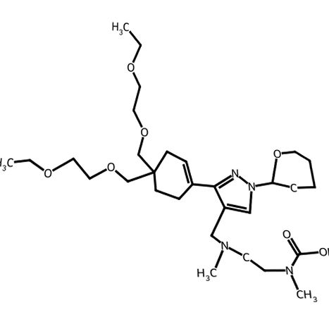 CCOCCOCC1(COCCOCC)CC=C(c2nn(C3CCCCO3)cc2CN(C)CCN(C)C(=O)O)CC1